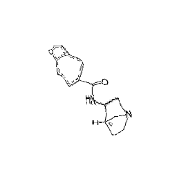 O=C(NC1CN2CC[C@H]1C2)c1ccc2occc2c1